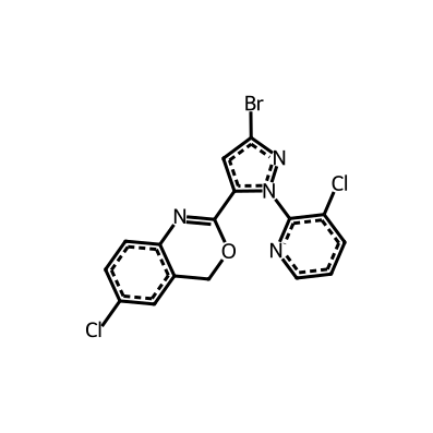 Clc1ccc2c(c1)COC(c1cc(Br)nn1-c1ncccc1Cl)=N2